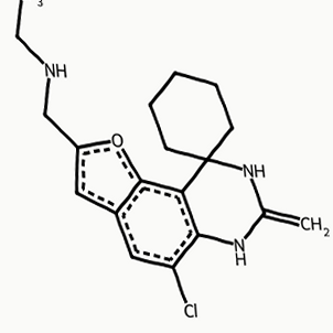 C=C1Nc2c(Cl)cc3cc(CNCC(F)(F)F)oc3c2C2(CCCCC2)N1